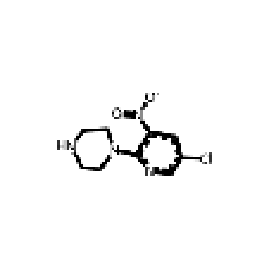 O=[N+]([O-])c1cc(Cl)cnc1N1CCNCC1